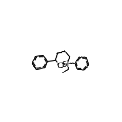 CC[Si]1(c2ccccc2)CCCC(c2ccccc2)O1